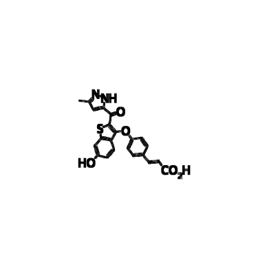 Cc1cc(C(=O)c2sc3cc(O)ccc3c2Oc2ccc(/C=C/C(=O)O)cc2)[nH]n1